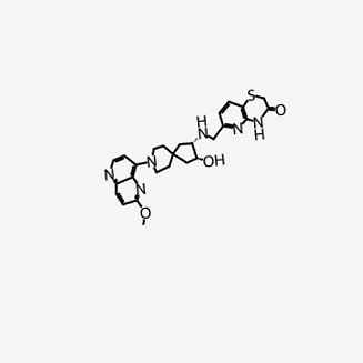 COc1ccc2nccc(N3CCC4(CC3)C[C@H](NCc3ccc5c(n3)NC(=O)CS5)[C@@H](O)C4)c2n1